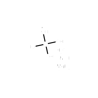 O.O[Si](O)(O)O.[MgH2].[NaH]